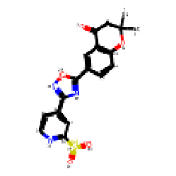 CCC1(CC)CC(=O)c2cc(-c3nc(-c4ccnc([SH](=O)=O)c4)no3)ccc2O1